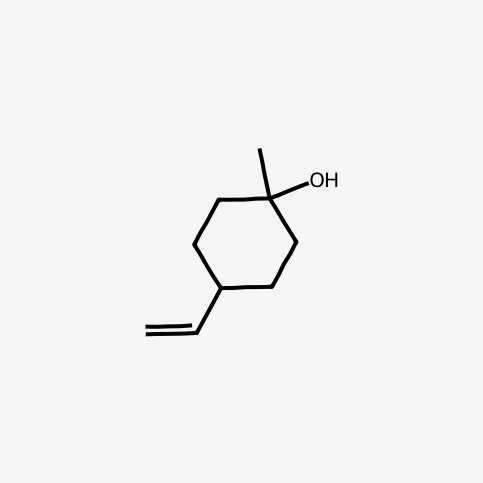 C=CC1CCC(C)(O)CC1